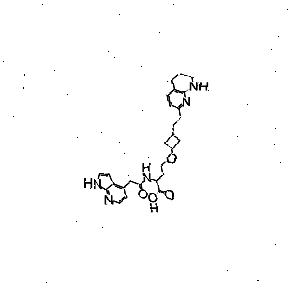 O=C(Cc1ccnc2[nH]ccc12)NC(CCOC1CC(CCc2ccc3c(n2)NCCC3)C1)C(=O)O